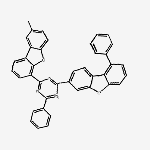 Cc1ccc2oc3c(-c4nc(-c5ccccc5)nc(-c5ccc6c(c5)oc5cccc(-c7ccccc7)c56)n4)cccc3c2c1